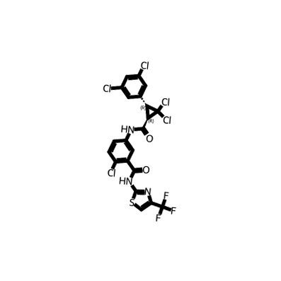 O=C(Nc1nc(C(F)(F)F)cs1)c1cc(NC(=O)[C@H]2[C@H](c3cc(Cl)cc(Cl)c3)C2(Cl)Cl)ccc1Cl